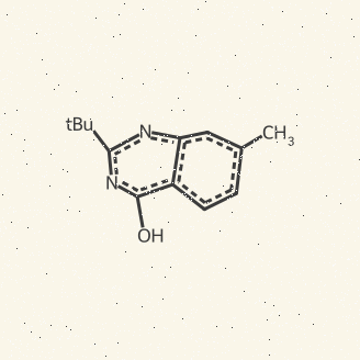 Cc1ccc2c(O)nc(C(C)(C)C)nc2c1